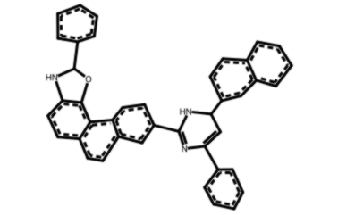 C1=C(c2ccccc2)N=C(c2ccc3c(ccc4ccc5c(c43)OC(c3ccccc3)N5)c2)NC1c1ccc2ccccc2c1